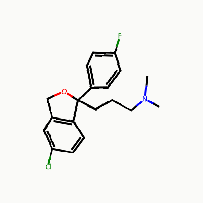 CN(C)CCCC1(c2ccc(F)cc2)OCc2cc(Cl)ccc21